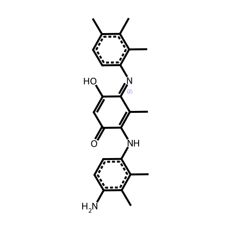 CC1=C(Nc2ccc(N)c(C)c2C)C(=O)C=C(O)/C1=N\c1ccc(C)c(C)c1C